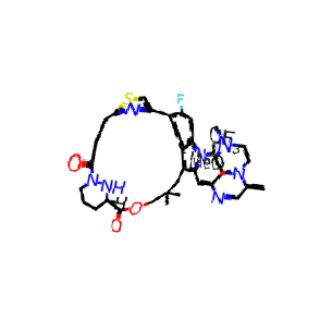 C=C(/C=N\C(=C\c1c2c3cc(c(F)cc3n1CC(F)(F)F)-c1csc(n1)CCC(=O)N1CCC[C@H](N1)C(=O)OCC(C)(C)C2)[C@H](C)OC)N1CCN(C)CC1